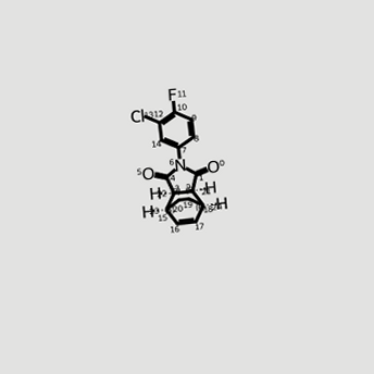 O=C1[C@@H]2[C@H](C(=O)N1c1ccc(F)c(Cl)c1)[C@@H]1C=C[C@H]2CC1